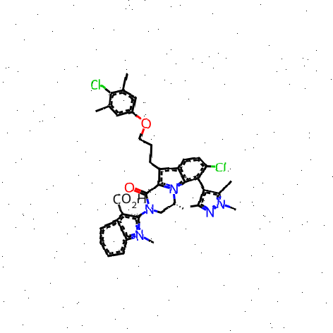 Cc1cc(OCCCc2c3n(c4c(-c5c(C)nn(C)c5C)c(Cl)ccc24)[C@H](C)CN(c2c(C(=O)O)c4ccccc4n2C)C3=O)cc(C)c1Cl